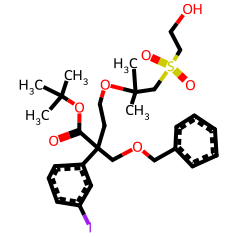 CC(C)(C)OC(=O)C(CCOC(C)(C)CS(=O)(=O)CCO)(COCc1ccccc1)c1cccc(I)c1